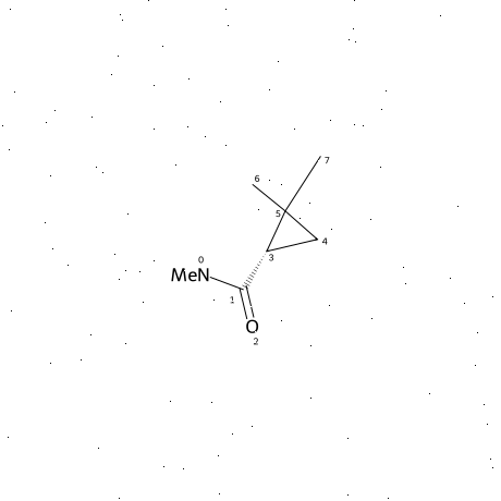 CNC(=O)[C@H]1CC1(C)C